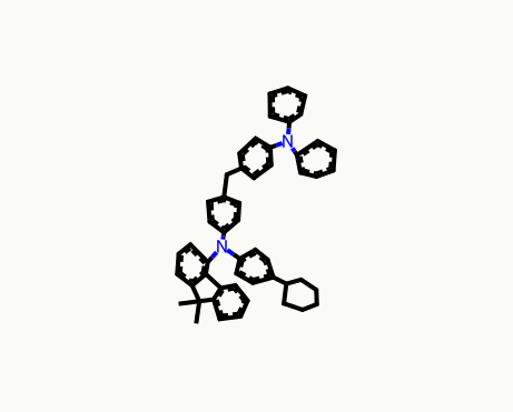 CC1(C)c2ccccc2-c2c(N(c3ccc(Cc4ccc(N(c5ccccc5)c5ccccc5)cc4)cc3)c3ccc(C4CCCCC4)cc3)cccc21